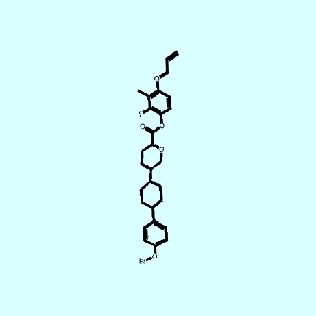 C=CCOc1ccc(OC(=O)C2CCC(C3CCC(c4ccc(OCC)cc4)CC3)CO2)c(F)c1C